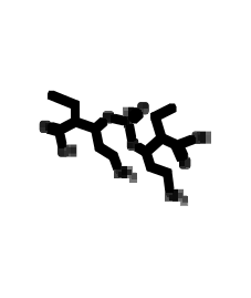 CCC(C(=O)O)C(CCN)O[PH](=O)OC(CCN)C(CC)C(=O)O